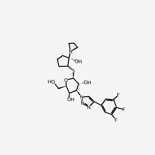 OC[C@H]1O[C@@H](S[C]2CCC[C@@]2(O)N2CCC2)[C@H](O)[C@@H](n2cc(-c3cc(F)c(F)c(F)c3)nn2)[C@H]1O